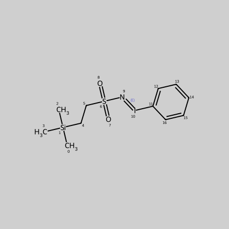 C[Si](C)(C)CCS(=O)(=O)/N=I/c1ccccc1